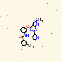 Cn1cc2c(Oc3cccc(NC(=O)c4cccc(C(F)(F)F)c4)c3)nc(-c3cccnc3)nc2n1